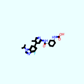 Cc1cnc(NC(=O)[C@H]2CCC[C@@H](NC(=O)O)C2)cc1-c1cc(F)c2ncn(C(C)C)c2c1